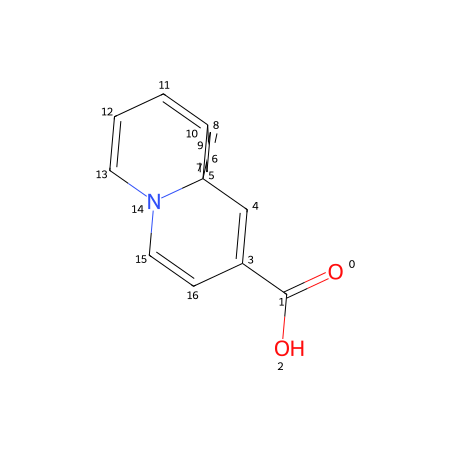 O=C(O)C1=CC23C=CC=CC2=CC=CN3C=C1